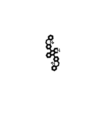 CN1c2ccccc2CCc2ccc(-c3c4ccccc4c(-c4ccc5c(c4)N(C)c4ccccc4CC5)c4cnccc34)cc21